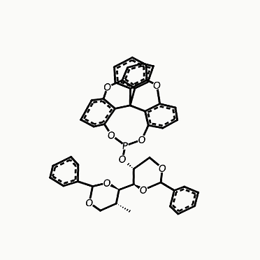 C[C@@H]1COC(c2ccccc2)O[C@H]1[C@@H]1OC(c2ccccc2)OC[C@H]1OP1Oc2cccc3c2C2(c4ccccc4O3)c3ccccc3Oc3cccc(c32)O1